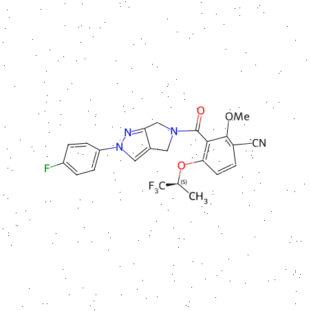 COc1c(C#N)ccc(O[C@@H](C)C(F)(F)F)c1C(=O)N1Cc2cn(-c3ccc(F)cc3)nc2C1